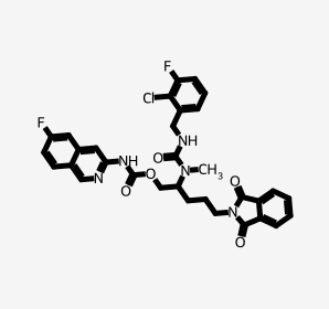 CN(C(=O)NCc1cccc(F)c1Cl)C(CCCN1C(=O)c2ccccc2C1=O)COC(=O)Nc1cc2cc(F)ccc2cn1